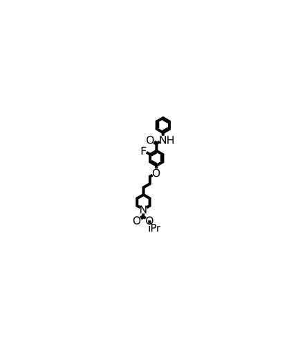 CC(C)OC(=O)N1CCC(CCCOc2ccc(C(=O)Nc3ccccc3)c(F)c2)CC1